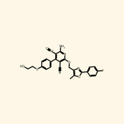 [C-]#[N+]c1c(N)nc(OCc2nc(-c3ccc(F)cc3)oc2C)c(C#N)c1-c1ccc(OCCO)cc1